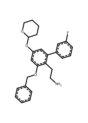 NCCc1c(OCc2ccccc2)cc(OC2CCCCO2)cc1-c1cccc(F)c1